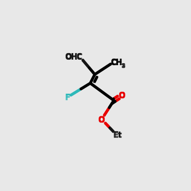 CCOC(=O)C(F)=C(C)C=O